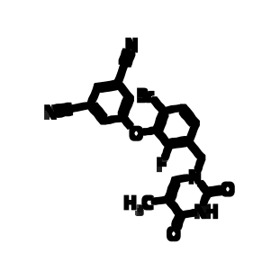 Cc1cn(Cc2ccc(Br)c(Oc3cc(C#N)cc(C#N)c3)c2F)c(=O)[nH]c1=O